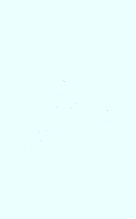 NC(=S)NC(=O)OCc1ccc(Oc2ccccc2)cc1NC(=O)COc1ccccc1